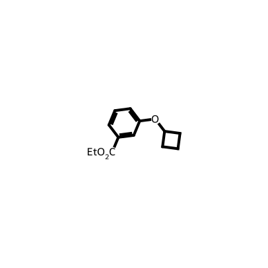 CCOC(=O)c1cccc(OC2CCC2)c1